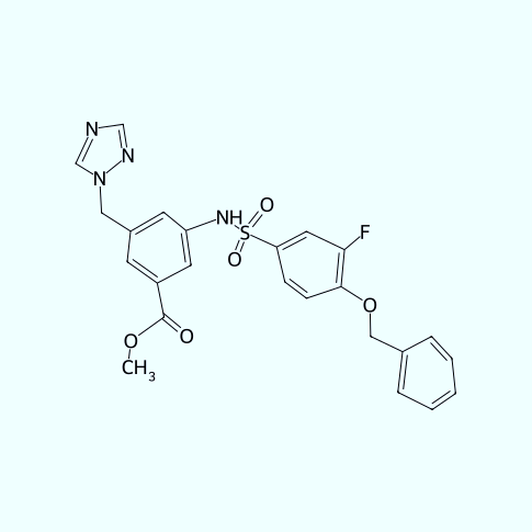 COC(=O)c1cc(Cn2cncn2)cc(NS(=O)(=O)c2ccc(OCc3ccccc3)c(F)c2)c1